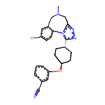 CN1Cc2cc(Cl)ccc2-n2c(nnc2[C@H]2CC[C@H](Oc3cccc(C#N)c3)CC2)C1